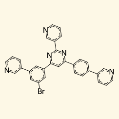 Brc1cc(-c2cccnc2)cc(-c2cc(-c3ccc(-c4cccnc4)cc3)nc(-c3cccnc3)n2)c1